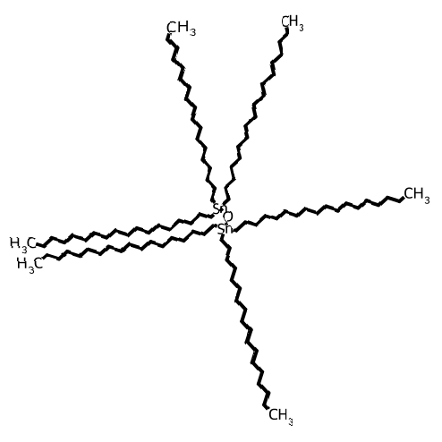 CCCCCCCCCCCCCCCCC[CH2][Sn]([CH2]CCCCCCCCCCCCCCCCC)([CH2]CCCCCCCCCCCCCCCCC)[O][Sn]([CH2]CCCCCCCCCCCCCCCCC)([CH2]CCCCCCCCCCCCCCCCC)[CH2]CCCCCCCCCCCCCCCCC